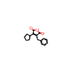 O=C1OC(=O)C(C2CCCC2)=C1Cc1ccccc1